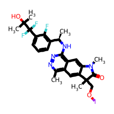 Cc1nnc(N[C@H](C)c2cccc(C(F)(F)C(C)(C)O)c2F)c2cc3c(cc12)C(C)(COI)C(=O)N3C